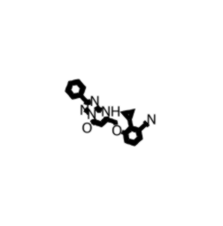 N#Cc1cccc(OCc2cc(=O)n3nc(-c4ccccc4)nc3[nH]2)c1C1CC1